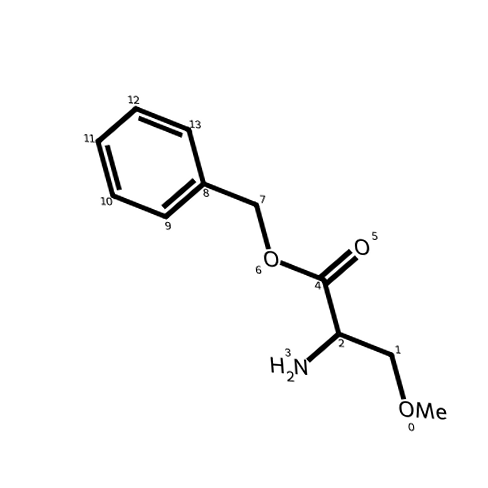 COCC(N)C(=O)OCc1ccccc1